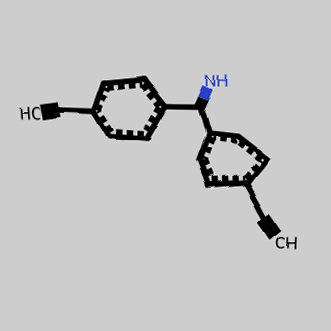 C#Cc1ccc(C(=N)c2ccc(C#C)cc2)cc1